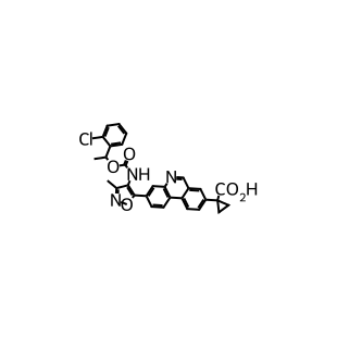 Cc1noc(-c2ccc3c(c2)ncc2cc(C4(C(=O)O)CC4)ccc23)c1NC(=O)OC(C)c1ccccc1Cl